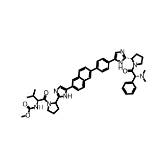 COC(=O)N[C@H](C(=O)N1CCCC1c1ncc(-c2ccc3cc(-c4ccc(-c5cnc([C@@H]6CCCN6C(=O)[C@@H](c6ccccc6)N(C)C)[nH]5)cc4)ccc3c2)[nH]1)C(C)C